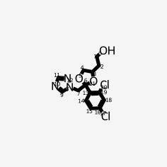 OCCC1COC(Cn2cncn2)(c2ccc(Cl)cc2Cl)O1